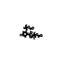 CC(C)(C)OC=O.CC(C)(C)OC=O.NC(=O)C1CCNC1